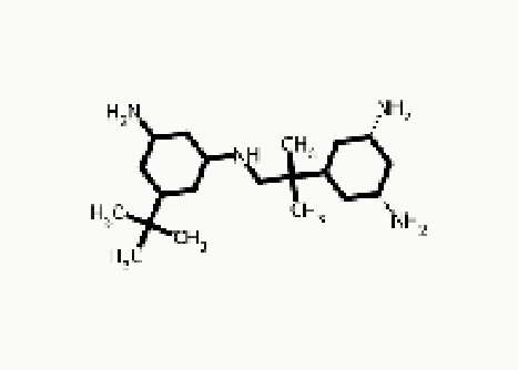 CC(C)(C)C1CC(N)CC(NCC(C)(C)C2C[C@@H](N)C[C@@H](N)C2)C1